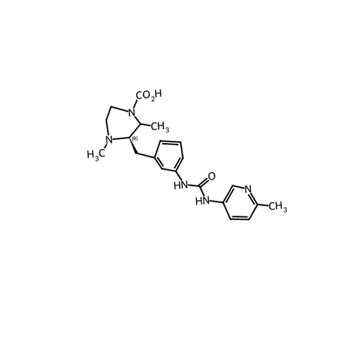 Cc1ccc(NC(=O)Nc2cccc(C[C@@H]3C(C)N(C(=O)O)CCN3C)c2)cn1